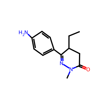 CCC1CC(=O)N(C)N=C1c1ccc(N)cc1